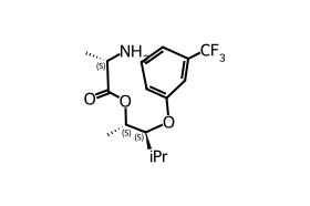 CC(C)[C@H](Oc1cccc(C(F)(F)F)c1)[C@H](C)OC(=O)[C@H](C)N